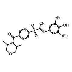 CC1COCC(C)N1C(=O)c1ccc(S(=O)(=O)C(C#N)=Cc2cc(C(C)(C)C)c(O)c(C(C)(C)C)c2)cc1